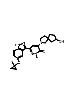 Cn1nc(-c2n[nH]c3ccc(OC4(C)CC4)cc23)cc(N2CCC3(CCC(O)C3)C2)c1=O